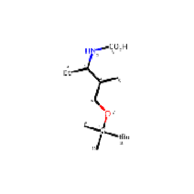 CCC(NC(=O)O)C(C)CO[Si](C)(C)C(C)(C)C